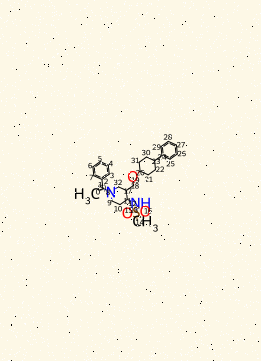 C[C@@H](c1ccccc1)N1CCC(NS(C)(=O)=O)C(COC2CCC(c3ccccc3)CC2)C1